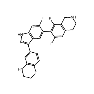 Fc1cc2[nH]nc(-c3ccc4c(c3)NCCO4)c2cc1-c1c(F)cc2c(c1F)CNCC2